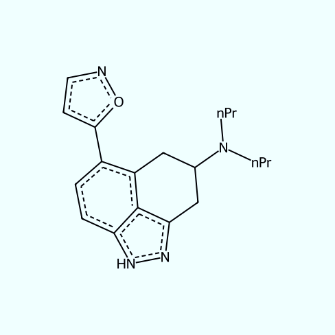 CCCN(CCC)C1Cc2n[nH]c3ccc(-c4ccno4)c(c23)C1